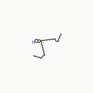 CCCCC/C=C\C/C=C\CCCCCCCCC1(CCCCCCCC/C=C\C/C=C\CCCCC)CC2CCC(N(C)C)CC2C1